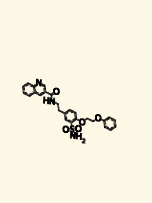 NS(=O)(=O)c1cc(CCNC(=O)c2cnc3ccccc3c2)ccc1OCCOc1ccccc1